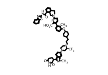 Cc1c(OC2CCC(CCCN3CCN(c4ccc5c(C6CCC(=O)NC6=O)nn(C)c5c4)C[C@@H]3C(F)(F)F)CC2)cccc1-c1ccc(N2CCc3cccc(C(=O)Nc4nc5ccccc5s4)c3C2)nc1C(=O)O